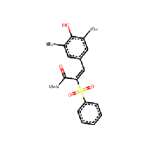 CNC(=O)/C(=C\c1cc(C(C)(C)C)c(O)c(C(C)(C)C)c1)S(=O)(=O)c1ccccc1